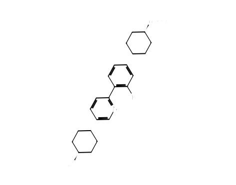 CCCCC[C@H]1CC[C@H](c2ccc(-c3ccc([C@H]4CC[C@H](CC)CC4)cn3)c(F)c2)CC1